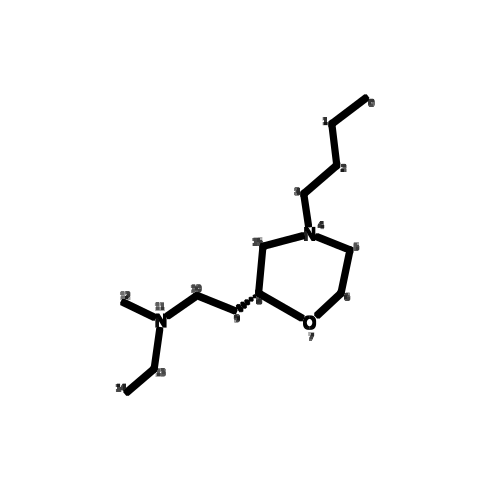 CCCCN1CCO[C@H](CCN(C)CC)C1